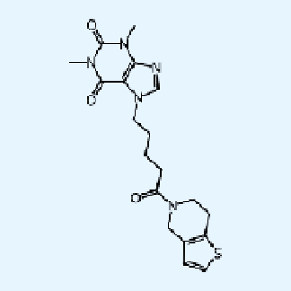 Cn1c(=O)c2c(ncn2CCCCC(=O)N2CCc3sccc3C2)n(C)c1=O